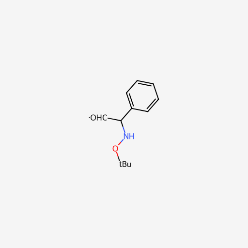 CC(C)(C)ONC([C]=O)c1ccccc1